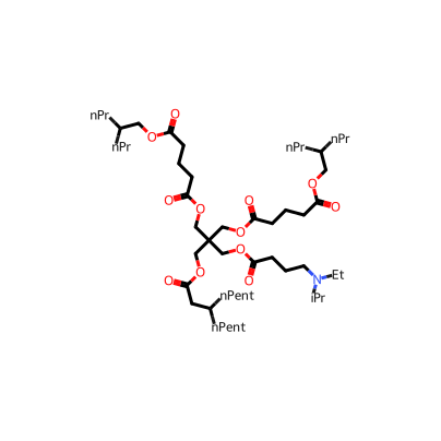 CCCCCC(CCCCC)CC(=O)OCC(COC(=O)CCCC(=O)OCC(CCC)CCC)(COC(=O)CCCC(=O)OCC(CCC)CCC)COC(=O)CCCN(CC)C(C)C